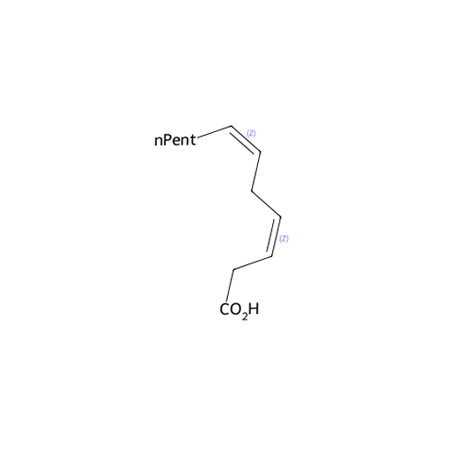 CCCCC/C=C\C/C=C\CC(=O)O